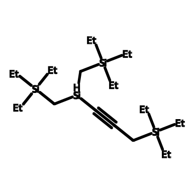 CC[Si](CC)(CC)CC#C[SiH](C[Si](CC)(CC)CC)C[Si](CC)(CC)CC